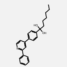 CCCCCCC(O)(O)c1ccc(-c2ccnc(-c3ccccc3)c2)cc1